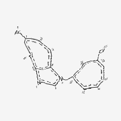 CC(=O)c1ccc2c(c1)ncn2-c1cccc(Cl)c1